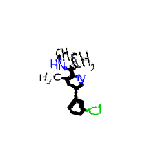 C=C(NC)c1ncc(-c2cccc(Cl)c2)cc1C